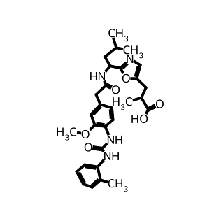 COc1cc(CC(=O)NC(CC(C)C)c2ncc(CC(C)C(=O)O)o2)ccc1NC(=O)Nc1ccccc1C